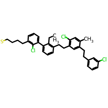 CCc1c(CCc2cc(CCc3cccc(Cl)c3)c(C)cc2Cl)cccc1-c1cccc(CCCCS)c1Cl